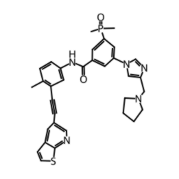 Cc1ccc(NC(=O)c2cc(-n3cnc(CN4CCCC4)c3)cc(P(C)(C)=O)c2)cc1C#Cc1cnc2sccc2c1